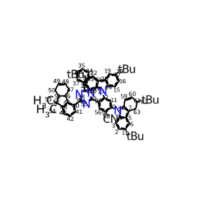 CC(C)(C)c1ccc2c(c1)c1c(n2-c2cc(-n3c4ccc(C(C)(C)C)cc4c4cc(C(C)(C)C)ccc43)c(-c3nc(-c4ccccc4)nc(-c4cccc5c4C4CC=CCC4C5(C)C)n3)cc2C#N)C=CC(C(C)(C)C)C1